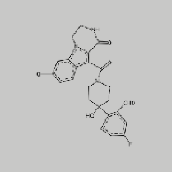 O=Cc1cc(F)ccc1C1(O)CCN(C(=O)c2c3n(c4cc(Cl)ccc24)CCNC3=O)CC1